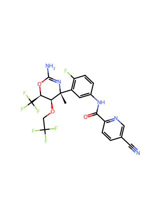 C[C@]1(c2cc(NC(=O)c3ccc(C#N)cn3)ccc2F)N=C(N)O[C@H](C(F)(F)F)[C@@H]1OCC(F)(F)F